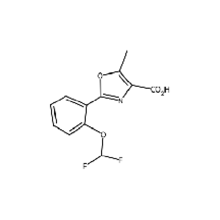 Cc1oc(-c2ccccc2OC(F)F)nc1C(=O)O